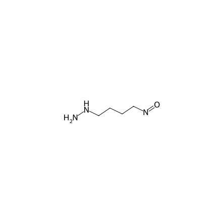 NNCCCCN=O